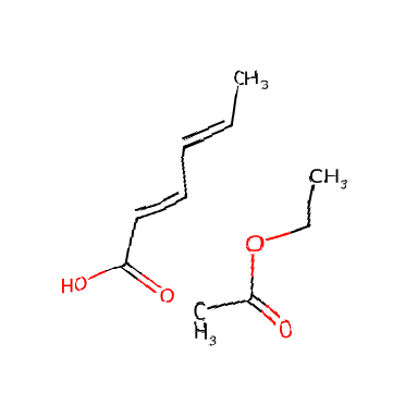 CC=CC=CC(=O)O.CCOC(C)=O